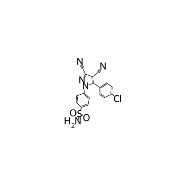 N#Cc1nn(-c2ccc(S(N)(=O)=O)cc2)c(-c2ccc(Cl)cc2)c1C#N